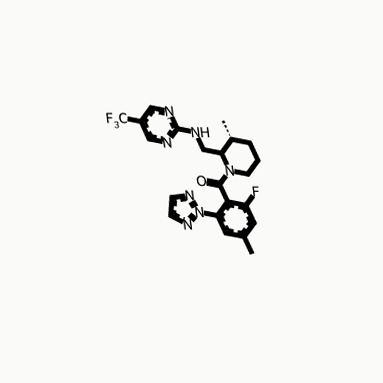 Cc1cc(F)c(C(=O)N2CCC[C@@H](C)C2CNc2ncc(C(F)(F)F)cn2)c(-n2nccn2)c1